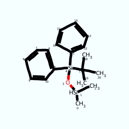 C[SiH](C)O[Si](c1ccccc1)(c1ccccc1)C(C)(C)C